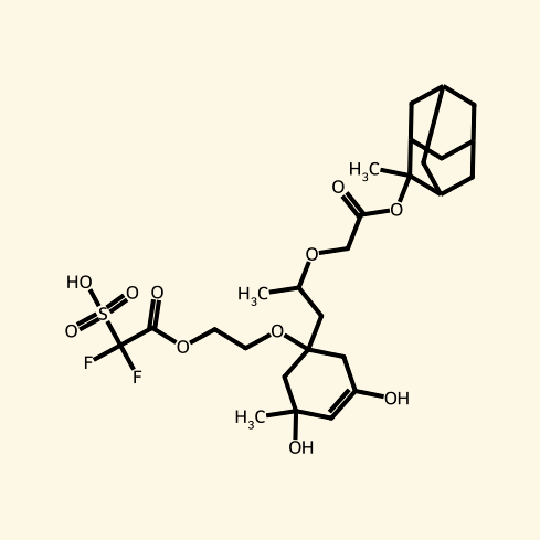 CC(CC1(OCCOC(=O)C(F)(F)S(=O)(=O)O)CC(O)=CC(C)(O)C1)OCC(=O)OC1(C)C2CC3CC(C2)CC1C3